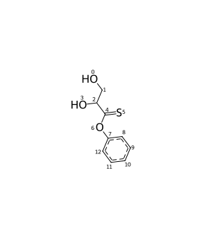 OCC(O)C(=S)Oc1ccccc1